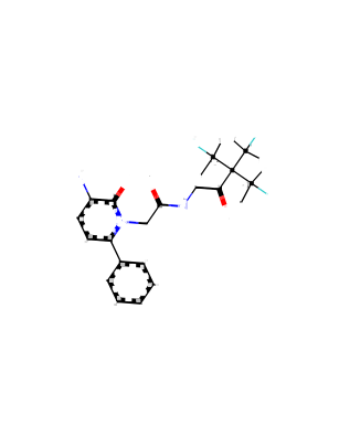 CC(C)(F)C(C(=O)CNC(=O)Cn1c(-c2ccccc2)ccc(N)c1=O)(C(C)(C)F)C(C)(C)F